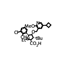 CCN1[C@H](C(=O)O)[C@@H](C(C)(C)C)[C@H](OCc2cc(C3CCC3)cnc2OC)[C@@H]1c1cccc(Cl)c1C